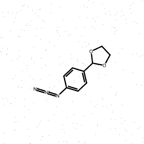 [N-]=[N+]=Nc1ccc(C2OCCO2)cc1